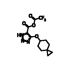 O=C(OC(=O)C(F)(F)F)c1[nH]nnc1OC1CCC2(CC1)CC2